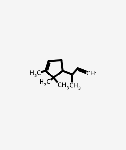 [CH]=CC(C)C1CC=C(C)C1(C)C